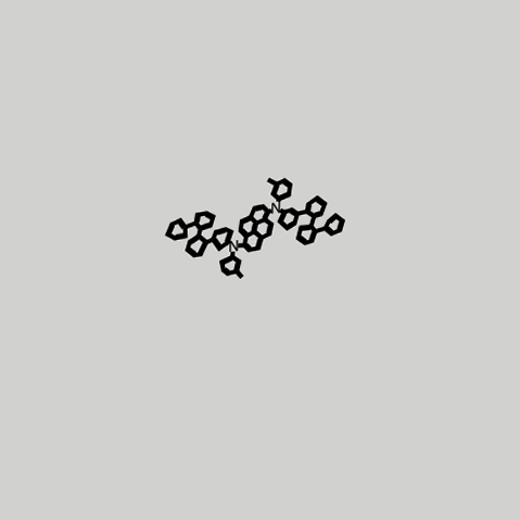 Cc1cccc(N(c2cccc(-c3ccccc3-c3ccccc3-c3ccccc3)c2)c2ccc3ccc4c(N(c5cccc(C)c5)c5cccc(-c6ccccc6-c6ccccc6-c6ccccc6)c5)ccc5ccc2c3c54)c1